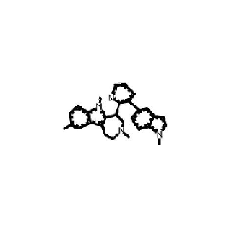 Cc1ccc2c(c1)c1c(n2C)C(c2ncccc2-c2ccc3c(ccn3C)c2)CN(C)CC1